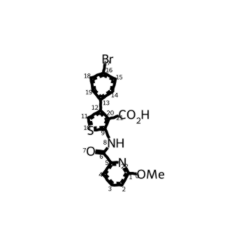 COc1cccc(C(=O)Nc2scc(-c3ccc(Br)cc3)c2C(=O)O)n1